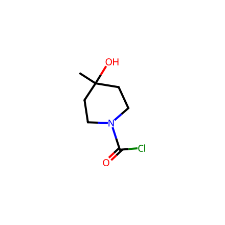 CC1(O)CCN(C(=O)Cl)CC1